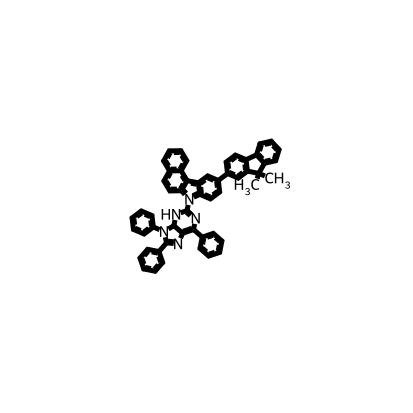 CC1(C)c2ccccc2-c2ccc(-c3ccc4c(c3)c3c5ccccc5ccc3n4C3=NC(c4ccccc4)=C4N=C(c5ccccc5)N(c5ccccc5)C4N3)cc21